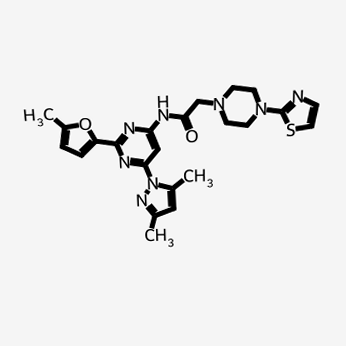 Cc1cc(C)n(-c2cc(NC(=O)CN3CCN(c4nccs4)CC3)nc(-c3ccc(C)o3)n2)n1